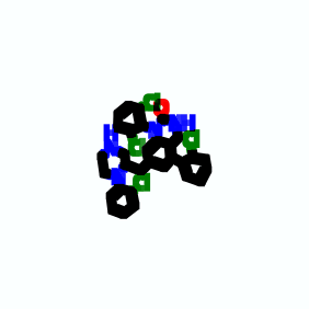 O=C1NCc2c(-c3ccccc3Cl)cc(CC3CNCCN3c3ccccc3Cl)cc2N1c1c(Cl)cccc1Cl